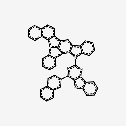 c1ccc2cc(-c3nc(-n4c5ccccc5c5cc6c7ccc8ccccc8c7n7c8ccccc8c(c54)c67)nc4c3sc3ccccc34)ccc2c1